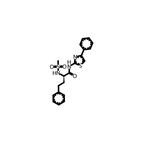 CS(=O)(=O)N[C@H](CCc1ccccc1)C(=O)Nc1nc(-c2ccccc2)cs1